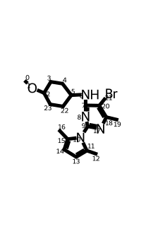 COC1CCC(Nc2nc(-n3c(C)ccc3C)nc(C)c2Br)CC1